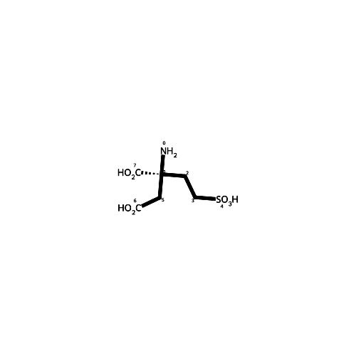 N[C@@](CCS(=O)(=O)O)(CC(=O)O)C(=O)O